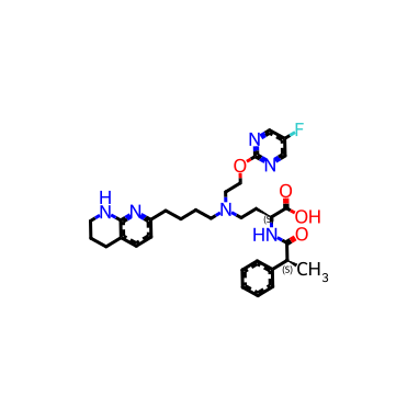 C[C@H](C(=O)N[C@@H](CCN(CCCCc1ccc2c(n1)NCCC2)CCOc1ncc(F)cn1)C(=O)O)c1ccccc1